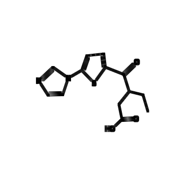 CCC(CC(=O)O)C(=O)c1ccc(-n2ccnc2)s1